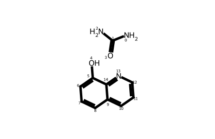 NC(N)=O.Oc1cccc2cccnc12